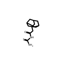 NC(=S)NC(=O)CC12CC3CC(CC(C3)C1)C2